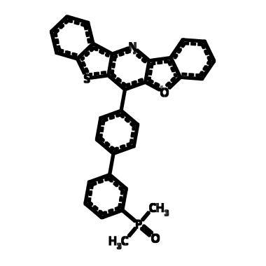 CP(C)(=O)c1cccc(-c2ccc(-c3c4oc5ccccc5c4nc4c3sc3ccccc34)cc2)c1